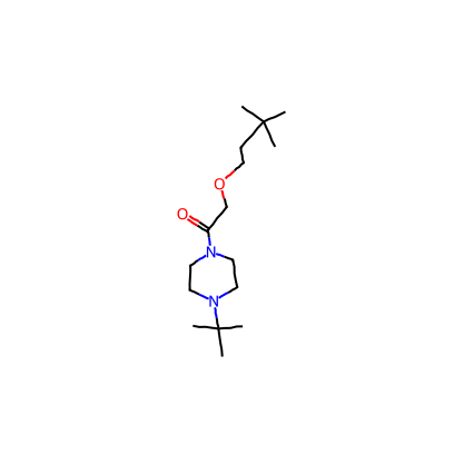 CC(C)(C)CCOCC(=O)N1CCN(C(C)(C)C)CC1